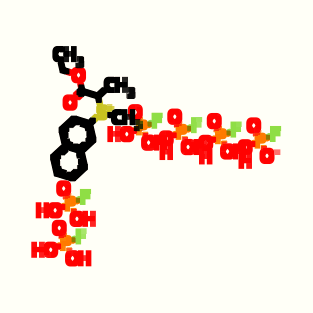 CCOC(=O)C(C)[S+](C)c1ccc2ccccc2c1.O=P(O)(O)F.O=P(O)(O)F.O=P(O)(O)F.O=P(O)(O)F.O=P(O)(O)F.O=P([O-])(O)F